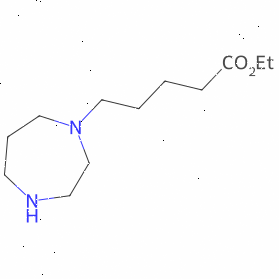 CCOC(=O)CCCCN1CCCNCC1